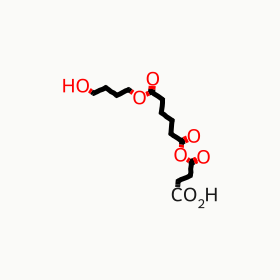 O=C(O)CCC(=O)OC(=O)CCCCC(=O)OCCCCO